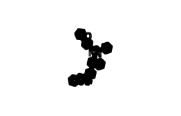 CC1(C)c2ccc(-c3ccc(-c4nc(-c5ccccc5)cc(-c5ccc6c(c5)oc5ccccc56)n4)c4ccccc34)cc2-c2cc3ccccc3cc21